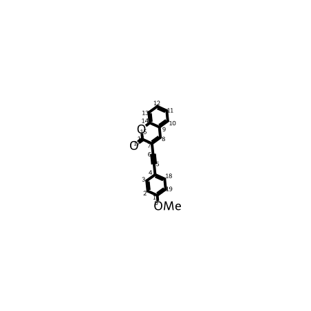 COc1ccc(C#Cc2cc3ccccc3oc2=O)cc1